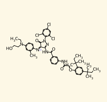 CCN(CCO)c1ccc(/N=C2\C(=O)N(c3c(Cl)cc(Cl)cc3Cl)N=C2NC(=O)c2cccc(NC(=O)COc3ccc(C(C)(C)CC)cc3C(C)(C)CC)c2)c(C)c1